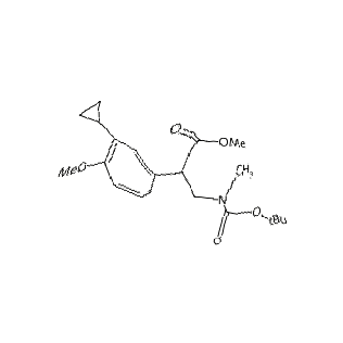 COC(=O)C(CN(C)C(=O)OC(C)(C)C)c1ccc(OC)c(C2CC2)c1